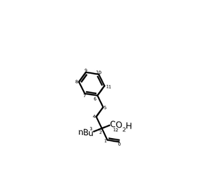 C=CC(CCCC)(CCc1ccccc1)C(=O)O